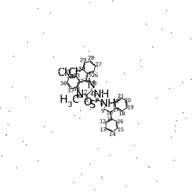 CN1C(=O)C(NC(=S)NCC(c2ccccc2)c2ccccc2)N=C(c2ccccc2Cl)c2cc(Cl)ccc21